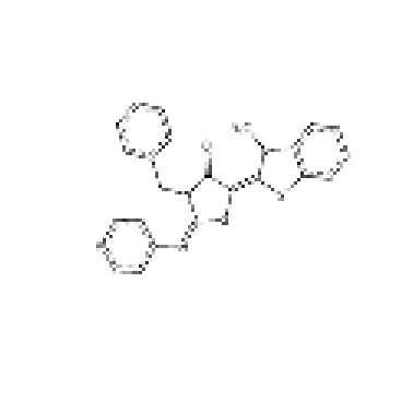 CN1C(=C2SC(=Nc3ccncc3)N(Cc3ccccc3)C2=O)Sc2ccccc21